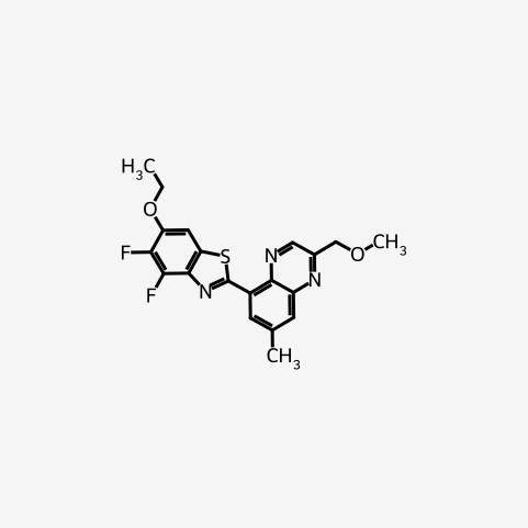 CCOc1cc2sc(-c3cc(C)cc4nc(COC)cnc34)nc2c(F)c1F